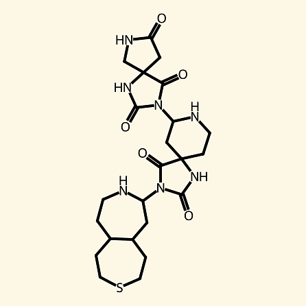 O=C1CC2(CN1)NC(=O)N(C1CC3(CCN1)NC(=O)N(C1CC4CCSCCC4CCN1)C3=O)C2=O